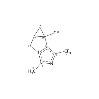 Cn1nc(C(F)(F)F)c2c1CC1CC21F